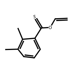 C=COC(=S)c1cccc(C)c1C